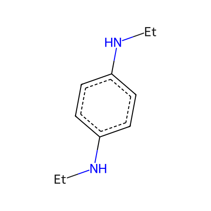 CCNc1ccc(NCC)cc1